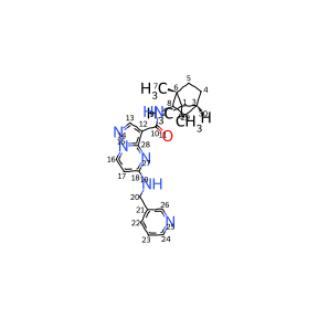 CC1(C)[C@@H]2CC[C@@]1(C)[C@H](NC(=O)c1cnn3ccc(NCc4cccnc4)nc13)C2